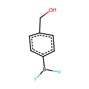 OCc1ccc(B(F)F)cc1